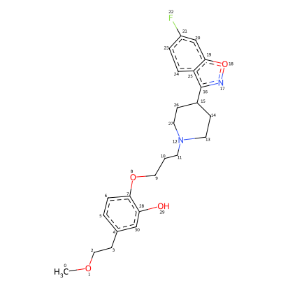 COCCc1ccc(OCCCN2CCC(c3noc4cc(F)ccc34)CC2)c(O)c1